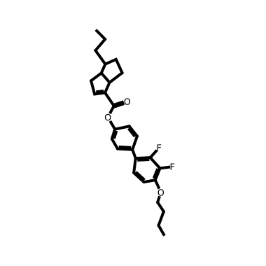 CCCCOc1ccc(-c2ccc(OC(=O)C3=CCC4C(CCC)CCC34)cc2)c(F)c1F